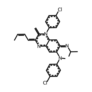 C=c1/c(=C\C=C/C)nc2cc(N(C)c3ccc(Cl)cc3)/c(=N\C(C)C)cc-2n1-c1ccc(Cl)cc1